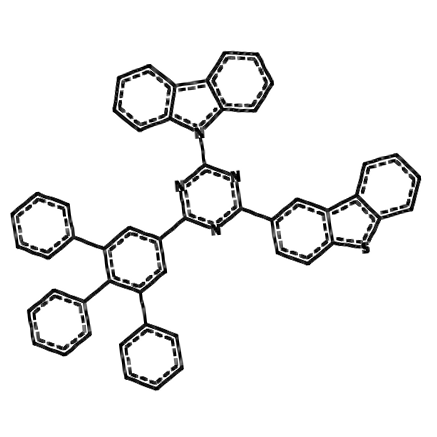 c1ccc(-c2cc(-c3nc(-c4ccc5sc6ccccc6c5c4)nc(-n4c5ccccc5c5ccccc54)n3)cc(-c3ccccc3)c2-c2ccccc2)cc1